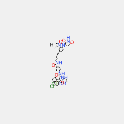 Cn1c(=O)n(C2CCC(=O)NC2=O)c2ccc(C#CCCCNC(=O)c3ccc(NC(=O)[C@@H]4NC5(CCCCC5)[C@@]5(C(=O)Nc6cc(Cl)ccc65)[C@H]4c4cccc(Cl)c4F)cc3)cc21